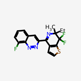 CCC1(C)N=C(c2cc3cccc(F)c3nn2)c2ccsc2C1(F)F